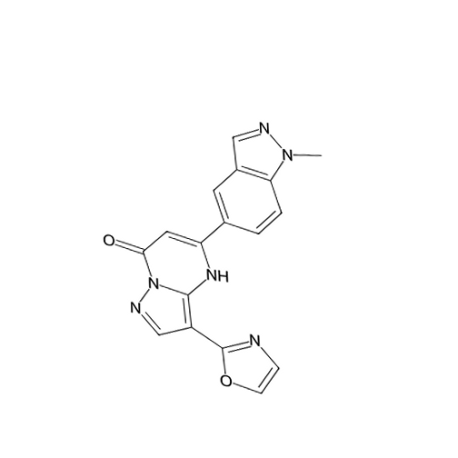 Cn1ncc2cc(-c3cc(=O)n4ncc(-c5ncco5)c4[nH]3)ccc21